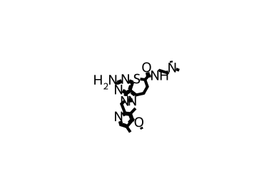 COc1c(C)cnc(Cn2nc3c4c(nc(N)nc42)SC(C(=O)NCCN(C)C)CC3)c1C